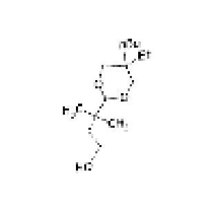 CCCCC1(CC)COC(C(C)(C)CCO)OC1